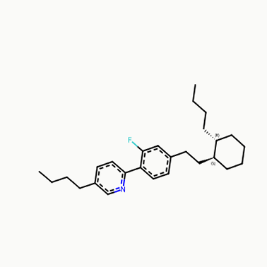 CCCCc1ccc(-c2ccc(CC[C@@H]3CCCC[C@H]3CCCC)cc2F)nc1